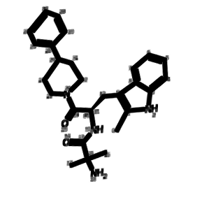 Cc1[nH]c2ccccc2c1C[C@@H](NC(=O)C(C)(C)N)C(=O)N1CCC(c2ccccc2)CC1